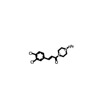 CCCN1CCN(C(=O)C=Cc2ccc(Cl)c(Cl)c2)CC1